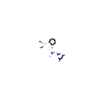 CCN(CC)S(=O)(=O)c1ccccc1S(=O)(=O)N/C(=N\N)Nc1nc(C)cc(C)n1